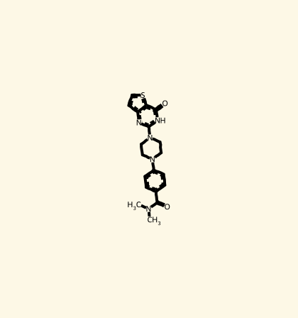 CN(C)C(=O)c1ccc(N2CCN(c3nc4ccsc4c(=O)[nH]3)CC2)cc1